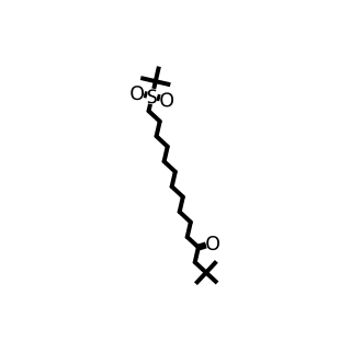 CC(C)(C)CC(=O)CCCCCCCCCCCS(=O)(=O)C(C)(C)C